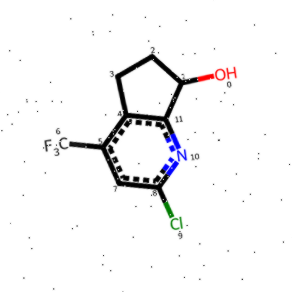 OC1CCc2c(C(F)(F)F)cc(Cl)nc21